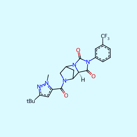 Cn1nc(C(C)(C)C)cc1C(=O)N1CC2CC1[C@@H]1C(=O)N(c3cccc(C(F)(F)F)c3)C(=O)N21